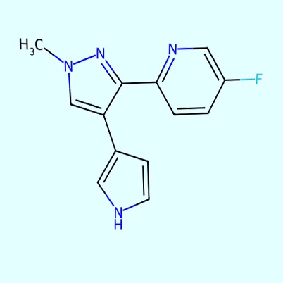 Cn1cc(-c2cc[nH]c2)c(-c2ccc(F)cn2)n1